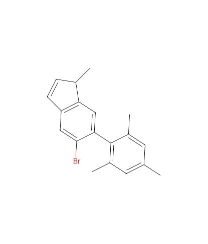 Cc1cc(C)c(-c2cc3c(cc2Br)C=CC3C)c(C)c1